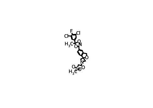 CC1(c2cc(Cl)c(F)c(Cl)c2)ON=C(c2ccc3c(c2)COC32CN(C(=O)CS(C)(=O)=O)C2)O1